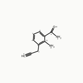 C#CCc1cccc(C(N)=O)c1N